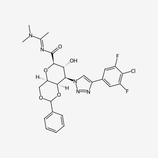 C/C(=N\C(=O)[C@@H]1O[C@@H]2COC(c3ccccc3)O[C@@H]2[C@H](n2cc(-c3cc(F)c(Cl)c(F)c3)nn2)[C@H]1O)N(C)C